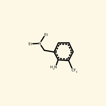 CCN(CC)Cc1cccc(C(F)(F)F)c1N